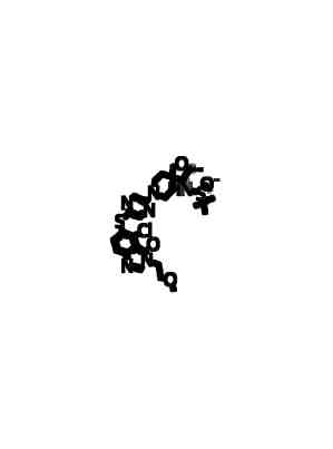 COCCn1cnc2ccc(Sc3cnc(N4CCC5(CC4)CO[C@@H](C)[C@H]5N[S+]([O-])C(C)(C)C)cn3)c(Cl)c2c1=O